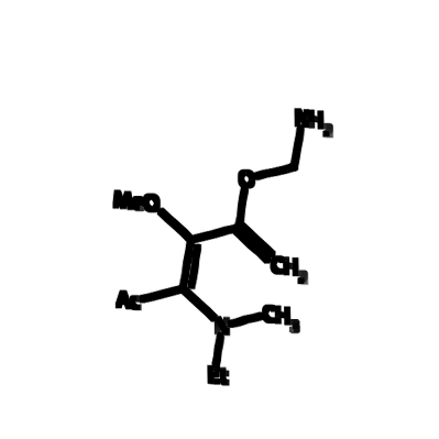 C=C(OCN)/C(OC)=C(/C(C)=O)N(C)CC